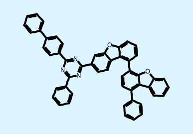 c1ccc(-c2ccc(-c3nc(-c4ccccc4)nc(-c4ccc5c(c4)oc4cccc(-c6ccc(-c7ccccc7)c7c6oc6ccccc67)c45)n3)cc2)cc1